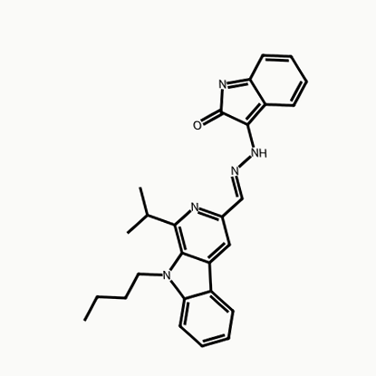 CCCCn1c2ccccc2c2cc(/C=N/NC3=c4ccccc4=NC3=O)nc(C(C)C)c21